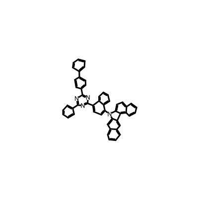 c1ccc(-c2ccc(-c3nc(-c4ccccc4)nc(-c4ccc(-n5c6cc7ccccc7cc6c6c7ccccc7ccc65)c5ccccc45)n3)cc2)cc1